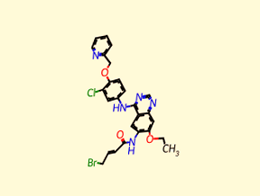 CCOc1cc2ncnc(Nc3ccc(OCc4ccccn4)c(Cl)c3)c2cc1NC(=O)C=CCBr